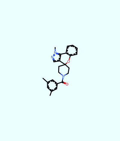 Cc1cc(C)cc(C(=O)N2CCC3(CC2)Oc2ccccc2-c2c3cnn2C)c1